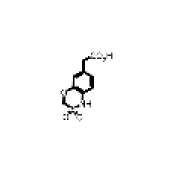 O=C(O)Cc1ccc2c(c1)OCS(=O)(=O)N2